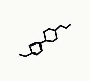 CCCC1CCC(c2ccc(CC)cc2)CC1